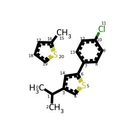 CC(C)c1[c]sc(-c2ccc(Cl)cc2)c1.Cc1cc[c]s1